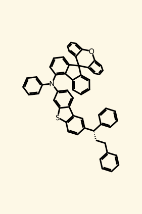 c1ccc(CC[C@@H](c2ccccc2)c2ccc3sc4cc(N(c5ccccc5)c5cccc6c5-c5ccccc5C65c6ccccc6Oc6ccccc65)ccc4c3c2)cc1